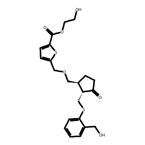 O=C(OCCO)c1ccc(COC[C@H]2CCC(=O)[C@@H]2CSc2ccccc2CO)s1